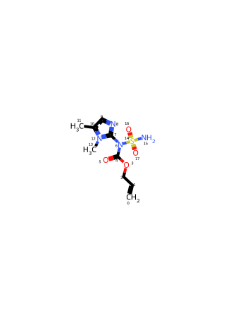 C=CCOC(=O)N(c1ncc(C)n1C)S(N)(=O)=O